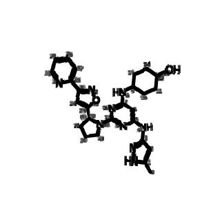 Cc1cc(Nc2cc(NC3CCC(O)CC3)nc(N3CCC[C@H]3c3cc(-c4ccccn4)no3)n2)n[nH]1